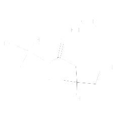 O=C(O)CC(O)(CC(=O)OP(=O)(O)O)C(=O)O.[CaH2].[KH]